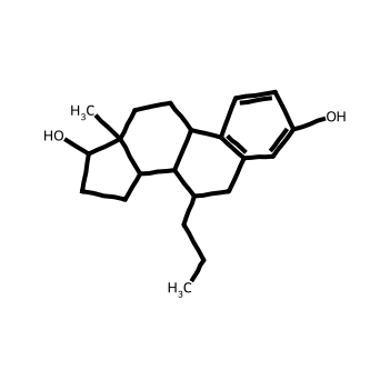 CCCC1Cc2cc(O)ccc2C2CCC3(C)C(O)CCC3C12